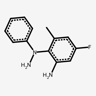 Cc1cc(F)cc(N)c1N(N)c1ccccc1